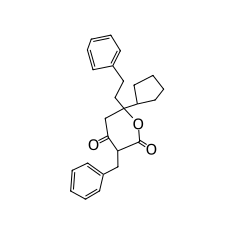 O=C1CC(CCc2ccccc2)(C2CCCC2)OC(=O)C1Cc1ccccc1